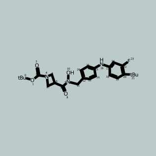 CC(C)(C)OC(=O)N1CC(C(=O)N(O)Cc2ccc(Nc3ccc(C(C)(C)C)c(F)c3)cc2)C1